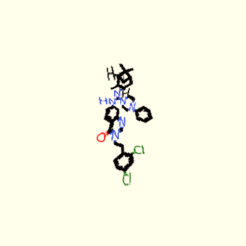 CC1[C@@H](/N=C(/Nc2ccc3c(=O)n(CCc4ccc(Cl)cc4Cl)cnc3c2)N2CCN(c3ccccc3)CC2)CC2C[C@H]1C2(C)C